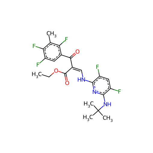 CCOC(=O)C(=CNc1nc(NC(C)(C)C)c(F)cc1F)C(=O)c1cc(F)c(F)c(C)c1F